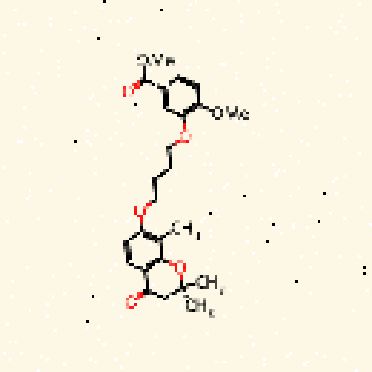 COC(=O)c1ccc(OC)c(OCCCCOc2ccc3c(c2C)OC(C)(C)CC3=O)c1